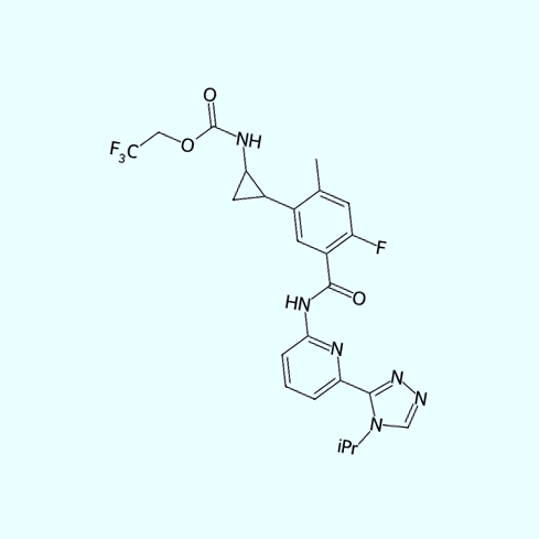 Cc1cc(F)c(C(=O)Nc2cccc(-c3nncn3C(C)C)n2)cc1C1CC1NC(=O)OCC(F)(F)F